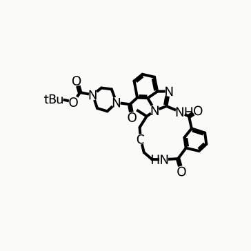 CC1CCCCNC(=O)c2cccc(c2)C(=O)Nc2nc3cccc(C(=O)N4CCN(C(=O)OC(C)(C)C)CC4)c3n21